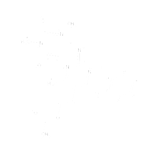 CC(=O)OCCc1c(O)n2c3c(=O)n(C)c(=O)n(C)c3nc2n(Cc2ccccc2)c1=O